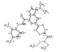 CCCC(CC)C(=O)N1CC=C(c2cc(C(=O)NCc3c(C)cc(C)[nH]c3=O)c3cnn(C(C)C)c3n2)CC1